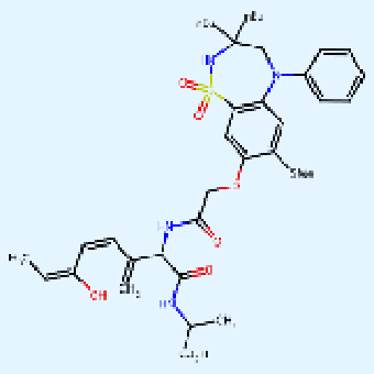 C=C(/C=C\C(O)=C/C)[C@@H](NC(=O)COc1cc2c(cc1SC)N(c1ccccc1)CC(CCCC)(CCCC)NS2(=O)=O)C(=O)NC(C)C(=O)O